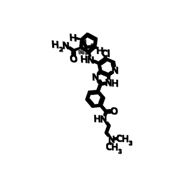 CN(C)CCNC(=O)c1cccc(-c2nc3c(N[C@H]4[C@@H](C(N)=O)[C@@H]5C=C[C@H]4C5)c(Cl)cnc3[nH]2)c1